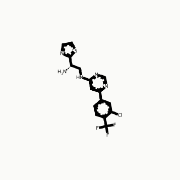 N[C@@H](CNc1cc(-c2ccc(C(F)(F)F)c(Cl)c2)ncn1)c1nccs1